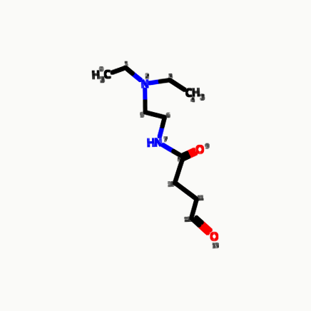 CCN(CC)CCNC(=O)CC[C]=O